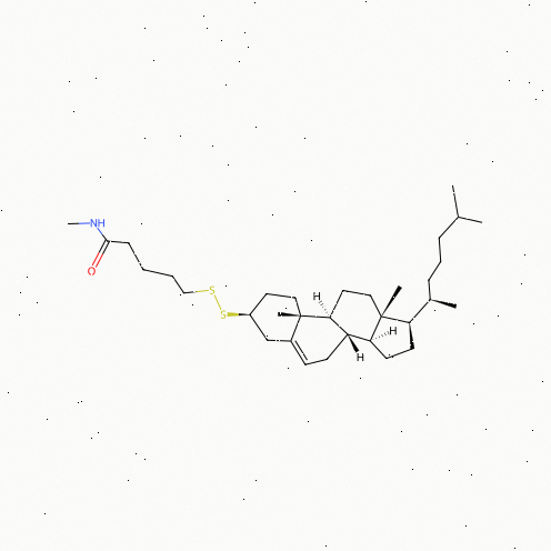 CNC(=O)CCCCSS[C@H]1CC[C@@]2(C)C(=CC[C@H]3[C@@H]4CC[C@H]([C@H](C)CCCC(C)C)[C@@]4(C)CC[C@@H]32)C1